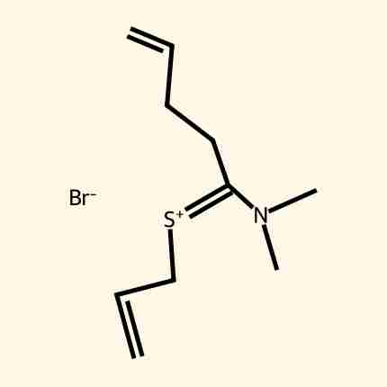 C=CCCC(=[S+]CC=C)N(C)C.[Br-]